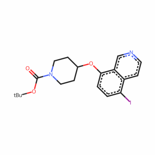 CC(C)(C)OC(=O)N1CCC(Oc2ccc(I)c3ccncc23)CC1